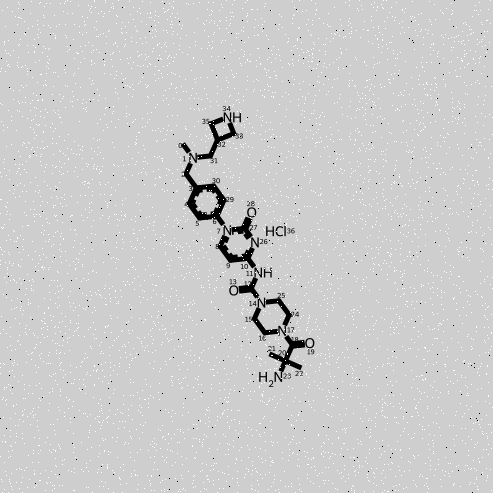 CN(Cc1ccc(-n2ccc(NC(=O)N3CCN(C(=O)C(C)(C)N)CC3)nc2=O)cc1)CC1CNC1.Cl